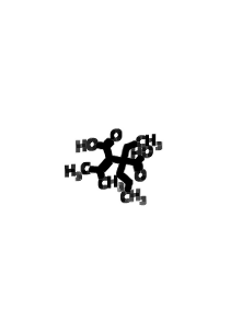 CCCC(CC)(C(=O)O)C(C(=O)O)=C(C)C